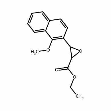 CCOC(=O)C1OC1c1ccc2ccccc2c1OC